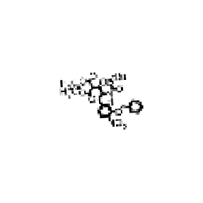 CC(C)(C)OC(=O)NC(Cc1ccc([N+](=O)[O-])c(OCc2ccccc2)c1)C(=O)C1C(=O)OC(C)(C)OC1=O